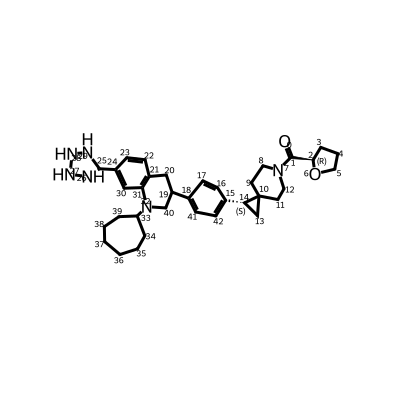 O=C([C@H]1CCCO1)N1CCC2(CC1)C[C@@H]2c1ccc(C2Cc3ccc(C4NNNN4)cc3N(C3CCCCCC3)C2)cc1